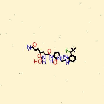 CN(C)C(=O)/C=C/CC[C@H](NC(=O)O)C(=O)Nc1cccn(Cc2nc3cccc(C(F)C(C)(C)C)c3[nH]2)c1=O